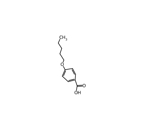 CCCCCOc1ccc(C(=O)O)cc1